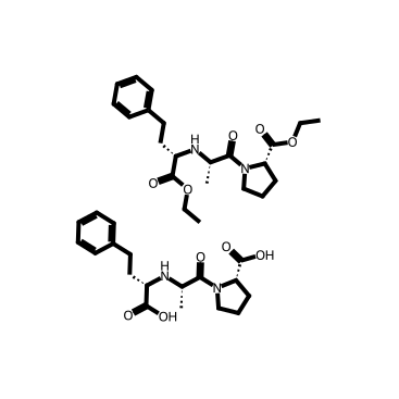 CCOC(=O)[C@H](CCc1ccccc1)N[C@@H](C)C(=O)N1CCC[C@H]1C(=O)OCC.C[C@H](N[C@@H](CCc1ccccc1)C(=O)O)C(=O)N1CCC[C@H]1C(=O)O